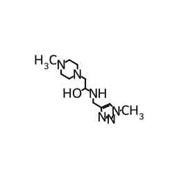 CN1CCN(CC(O)NCc2cn(C)nn2)CC1